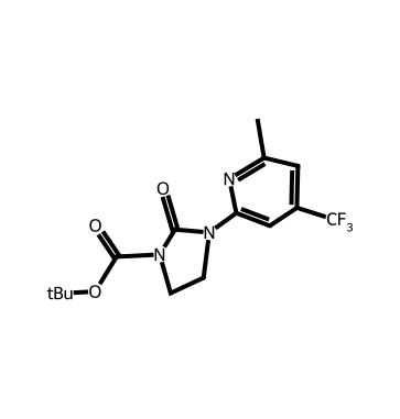 Cc1cc(C(F)(F)F)cc(N2CCN(C(=O)OC(C)(C)C)C2=O)n1